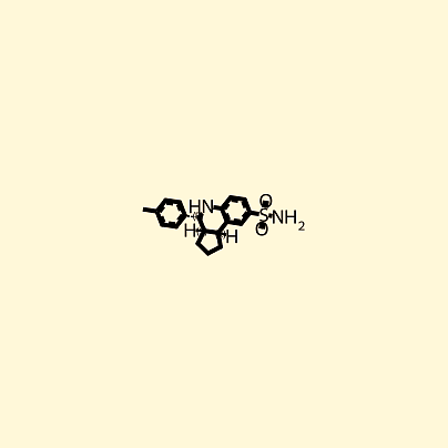 Cc1ccc([C@@H]2Nc3ccc(S(N)(=O)=O)cc3[C@@H]3CCC[C@@H]32)cc1